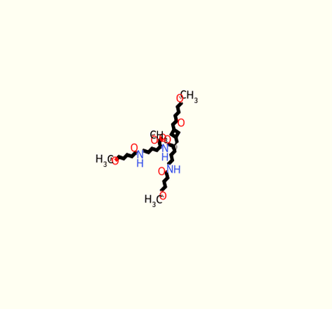 COCCCCC(=O)CC1CC(C[C@@H](CCCCNC(=O)CCCCOC)C(=O)NC(CCCCNC(=O)CCCCOC)C(=O)OC)C1